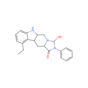 CCc1cccc2c1C1CC3C(=O)N(c4ccccc4)C(O)N3CC1N2